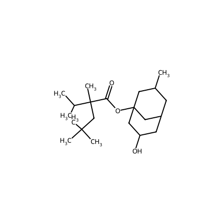 CC1CC2CC(O)CC(OC(=O)C(C)(CC(C)(C)C)C(C)C)(C1)C2